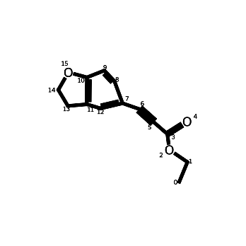 CCOC(=O)C#Cc1ccc2c(c1)CCO2